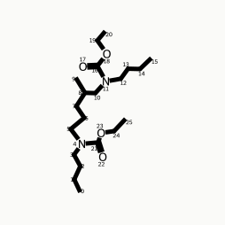 CCCCN(CCCC(C)CN(CCCC)C(=O)OCC)C(=O)OCC